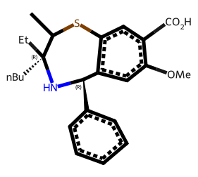 CCCC[C@@]1(CC)N[C@H](c2ccccc2)c2cc(OC)c(C(=O)O)cc2SC1C